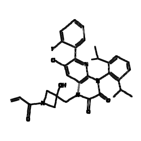 C=CC(=O)N1CC(O)(Cn2c(=O)c(=O)n(-c3c(C(C)C)cccc3C(C)C)c3nc(-c4ccccc4F)c(Cl)cc32)C1